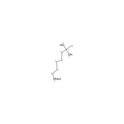 [CH2]C(O)(O)CCCCCCCCCC